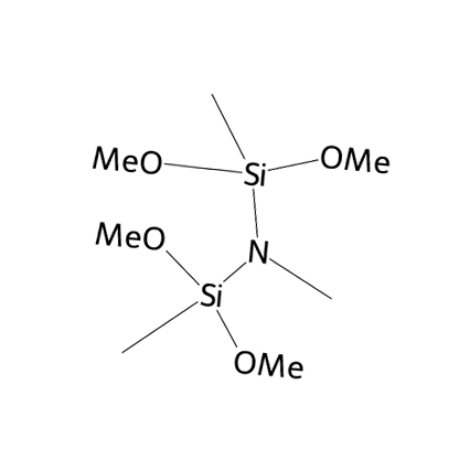 CO[Si](C)(OC)N(C)[Si](C)(OC)OC